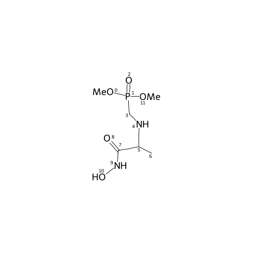 COP(=O)(CNC(C)C(=O)NO)OC